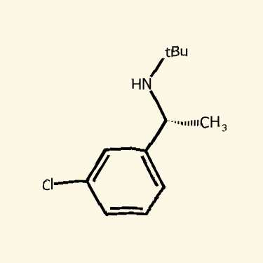 C[C@@H](NC(C)(C)C)c1cccc(Cl)c1